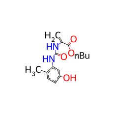 C=C(NC(=O)Nc1cc(O)ccc1C)C(=O)OCCCC